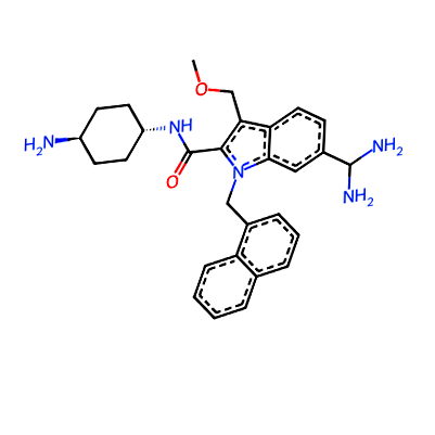 COCc1c(C(=O)N[C@H]2CC[C@H](N)CC2)n(Cc2cccc3ccccc23)c2cc(C(N)N)ccc12